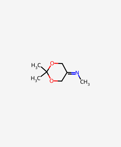 CN=C1COC(C)(C)OC1